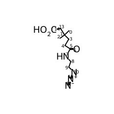 CC(C)(CCC(=O)NCCN=[N+]=[N-])CC(=O)O